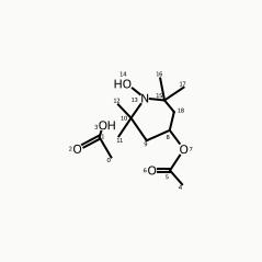 CC(=O)O.CC(=O)OC1CC(C)(C)N(O)C(C)(C)C1